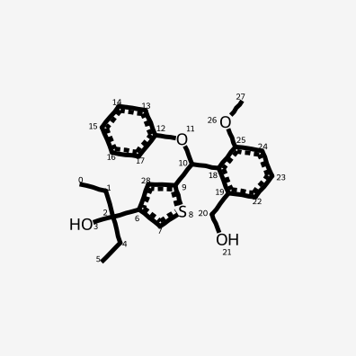 CCC(O)(CC)c1csc(C(Oc2ccccc2)c2c(CO)cccc2OC)c1